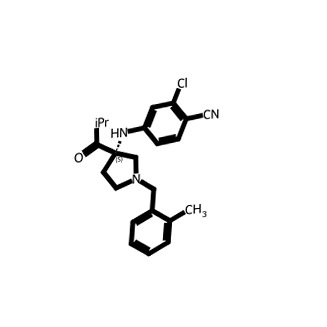 Cc1ccccc1CN1CC[C@@](Nc2ccc(C#N)c(Cl)c2)(C(=O)C(C)C)C1